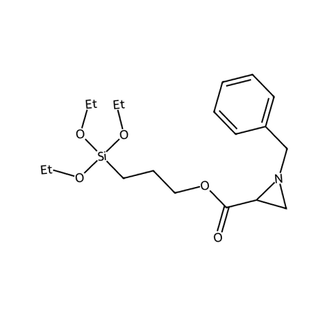 CCO[Si](CCCOC(=O)C1CN1Cc1ccccc1)(OCC)OCC